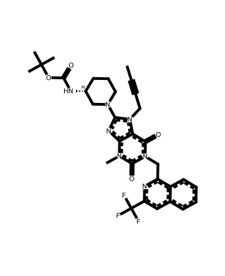 CC#CCn1c(N2CCC[C@@H](NC(=O)OC(C)(C)C)C2)nc2c1c(=O)n(Cc1nc(C(F)(F)F)cc3ccccc13)c(=O)n2C